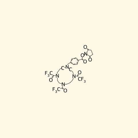 O=C(ON1C(=O)CCC1=O)c1ccc(CN2CCCN(C(=O)C(F)(F)F)CCN(C(=O)C(F)(F)F)CCCN(C(=O)C(F)(F)F)CC2)cc1